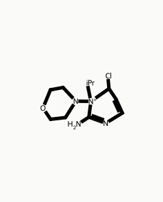 CC(C)[N+]1(N2CCOCC2)C(N)=NC=CC1Cl